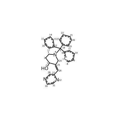 OC1CCN(C(c2ccccc2)(c2ccccc2)c2ccccc2)CC1=Cc1cnccn1